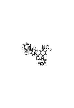 O=C(c1cc([N+](=O)[O-])ccc1N1CCOCC1)N1CCN(c2ncccc2Cl)CC1